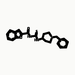 O=C(NC(=S)NC1CCN(Cc2ccccc2)CC1)c1cc2ccccc2o1